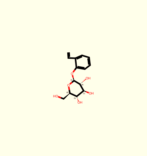 C=Cc1ccccc1O[C@@H]1O[C@H](CO)[C@@H](O)[C@H](O)[C@H]1O